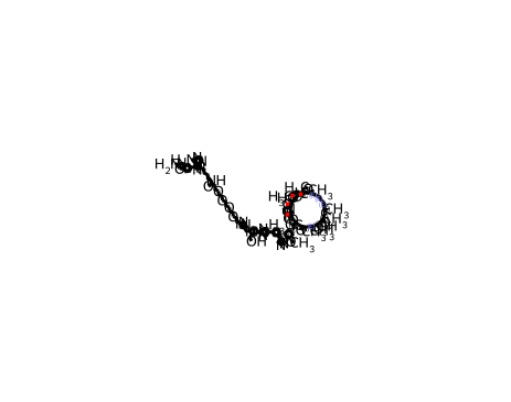 CO[C@H]1C[C@@H]2CC[C@@H](C)[C@@](O)(O2)C(=O)C(=O)N2CCCC[C@H]2C(=O)OC([C@H](C)C[C@@H]2CC[C@H](n3nncc3-c3cccc(-c4cnc(N5CCN(Cc6cn(CCOCCOCCOCCOCCC(=O)NCCCCn7nc(-c8ccc9oc(N)nc9c8)c8c(N)ncnc87)nn6)C(CO)C5)nc4)c3)[C@H](OC)C2)CC(=O)[C@H](C)/C=C(\C)[C@@H](O)[C@@H](O)C(=O)[C@H](C)C[C@H](C)/C=C/C=C/C=C/1C